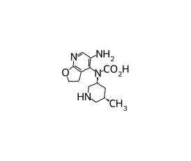 C[C@H]1CNC[C@@H](N(C(=O)O)c2c(N)cnc3c2CCO3)C1